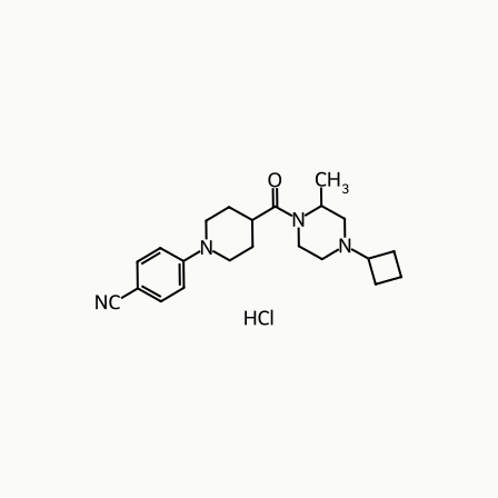 CC1CN(C2CCC2)CCN1C(=O)C1CCN(c2ccc(C#N)cc2)CC1.Cl